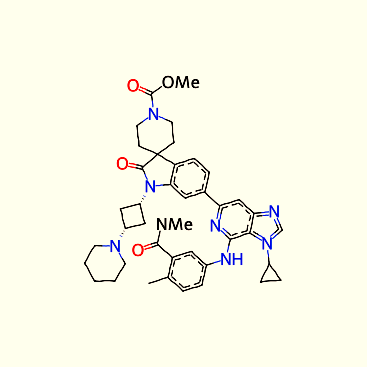 CNC(=O)c1cc(Nc2nc(-c3ccc4c(c3)N([C@H]3C[C@@H](N5CCCCC5)C3)C(=O)C43CCN(C(=O)OC)CC3)cc3ncn(C4CC4)c23)ccc1C